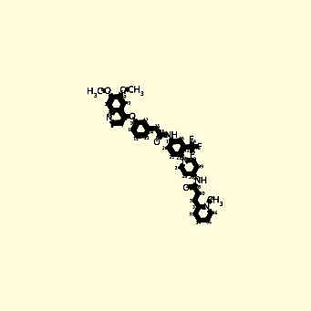 COc1cc2nccc(Oc3cccc(CC(=O)Nc4ccc(N5CCC(NC(=O)CCC6CCCCN6C)CC5)c(C(F)(F)F)c4)c3)c2cc1OC